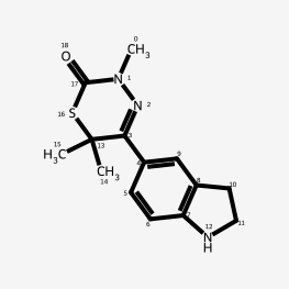 CN1N=C(c2ccc3c(c2)CCN3)C(C)(C)SC1=O